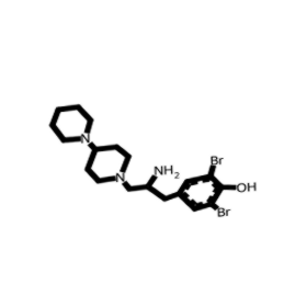 NC(Cc1cc(Br)c(O)c(Br)c1)CN1CCC(N2CCCCC2)CC1